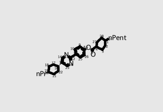 CCCCCC1CCC(C(=O)Oc2ccc(-c3ncc([C@H]4CC[C@H](CCC)CC4)cn3)cc2)CC1